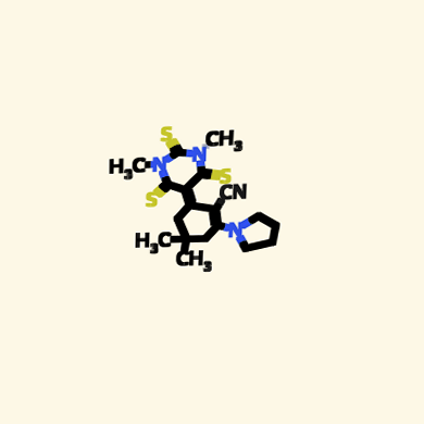 CN1C(=S)C(=C2CC(C)(C)CC(N3CCCC3)=C2C#N)C(=S)N(C)C1=S